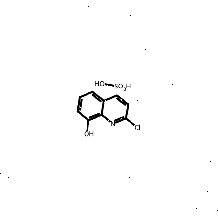 O=S(=O)(O)O.Oc1cccc2ccc(Cl)nc12